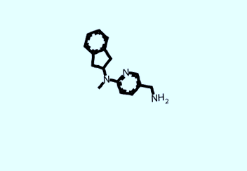 CN(c1ccc(CN)cn1)C1Cc2ccccc2C1